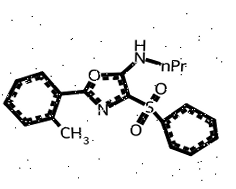 CCCNc1oc(-c2ccccc2C)nc1S(=O)(=O)c1ccccc1